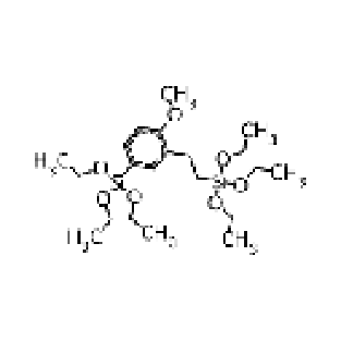 CCO[Si](CCc1cc([Si](OCC)(OCC)OCC)ccc1OC)(OCC)OCC